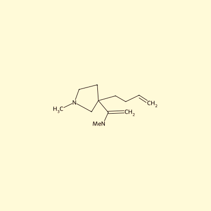 C=CCCC1(C(=C)NC)CCN(C)C1